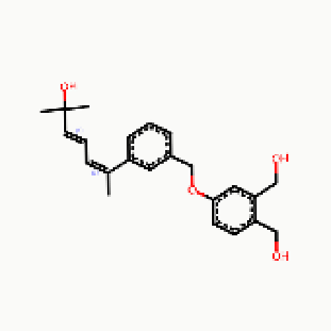 C/C(=C/C=C/C(C)(C)O)c1cccc(COc2ccc(CO)c(CO)c2)c1